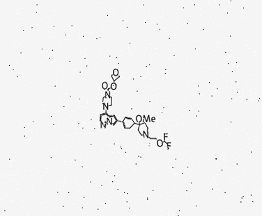 COC1(C2C=CC(c3cc4c(N5CCN(C(=O)OC6COC6)CC5)ccnn4c3)=CC2)CCN([C@@H](C)COC(F)F)CC1